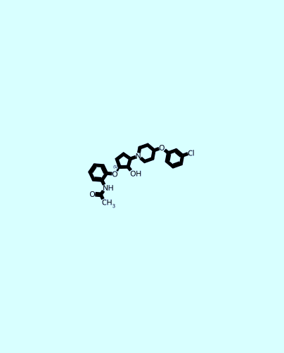 CC(=O)Nc1ccccc1O[C@H]1CCC(N2CCC(Oc3cccc(Cl)c3)CC2)C1O